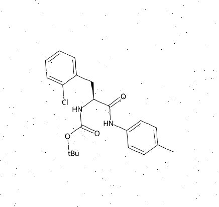 Cc1ccc(NC(=O)[C@H](Cc2ccccc2Cl)NC(=O)OC(C)(C)C)cc1